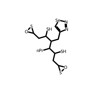 CCCC(C(S)CC1OS1)C(Cc1c[se]nn1)C(S)CC1OS1